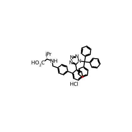 CC(C)[C@H](NCc1ccc(-c2ccccc2-c2nnnn2C(c2ccccc2)(c2ccccc2)c2ccccc2)cc1)C(=O)O.Cl